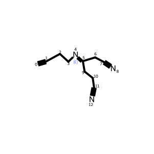 C#CCC/N=C(/CC#N)CCC#N